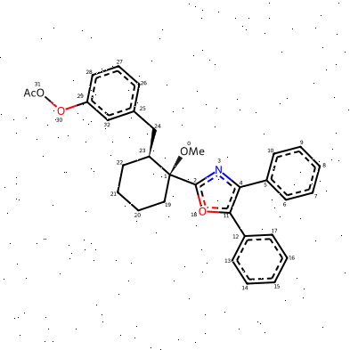 CO[C@@]1(c2nc(-c3ccccc3)c(-c3ccccc3)o2)CCCC[C@H]1Cc1cccc(OOC(C)=O)c1